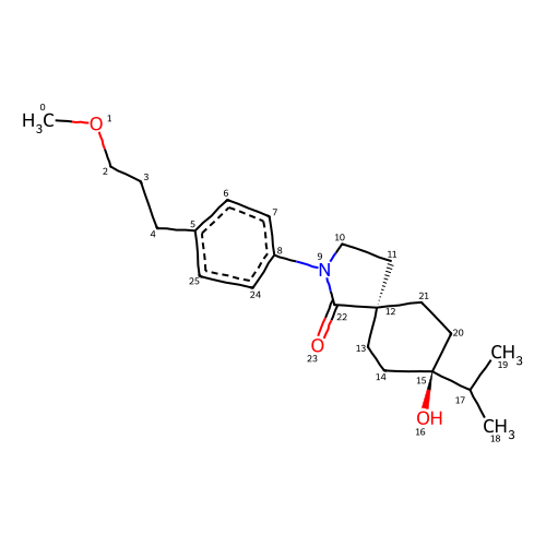 COCCCc1ccc(N2CC[C@]3(CC[C@@](O)(C(C)C)CC3)C2=O)cc1